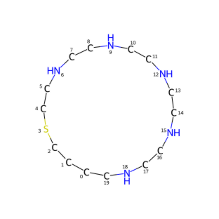 C1CCSCCNCCNCCNCCNCCNC1